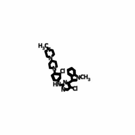 CN1CCN(C2CCN(c3ccc(Nc4ncc(Cl)c(-c5cn(C)c6ccccc56)n4)cc3Cl)CC2)CC1